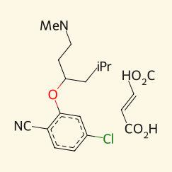 CNCCC(CC(C)C)Oc1cc(Cl)ccc1C#N.O=C(O)C=CC(=O)O